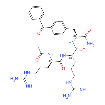 CC(=O)N[C@H](CCCNC(=N)N)C(=O)N[C@@H](CCCNC(=N)N)C(=O)N[C@@H](Cc1ccc(C(=O)c2ccccc2)cc1)C(N)=O